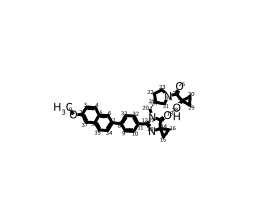 COc1ccc2cc(-c3ccc(C4=NC5(CC5)C(=O)N4C[C@@H]4CCN(C(=O)C5(O)CC5)C4)cc3)ccc2c1